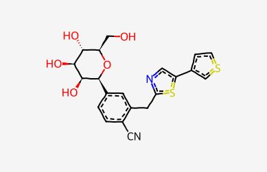 N#Cc1ccc([C@@H]2O[C@H](CO)[C@@H](O)[C@H](O)[C@@H]2O)cc1Cc1ncc(-c2ccsc2)s1